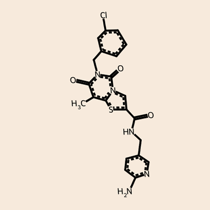 Cc1c(=O)n(Cc2cccc(Cl)c2)c(=O)n2cc(C(=O)NCc3ccc(N)nc3)sc12